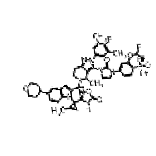 CCP(=O)(CC)c1ccc(-n2ccn(-c3c4c(nn3-c3cc(C)c(F)c(C)c3)CCN(C(=O)c3cc5cc(C6CCOCC6)ccc5n3C3(c5noc(=O)[nH]5)CC3C)C4C)c2=O)cc1OC(F)F